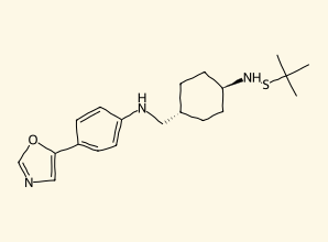 CC(C)(C)SN[C@H]1CC[C@H](CNc2ccc(-c3cnco3)cc2)CC1